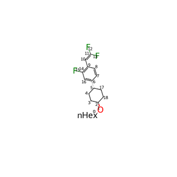 CCCCCCO[C@H]1CC[C@H](c2ccc(C=C(F)F)c(F)c2)CC1